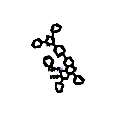 N=C1C(c2ccccc2)=Cc2c(-c3ccccc3)nc3ccc(-c4ccc(-c5cc(-c6ccccc6)nc(-c6ccccc6)n5)cc4)cc3c2/C1=N/Nc1ccccc1